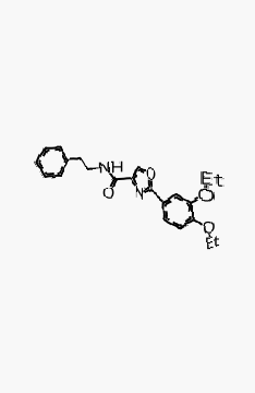 CCOc1ccc(-c2nc(C(=O)NCCc3ccccc3)co2)cc1OCC